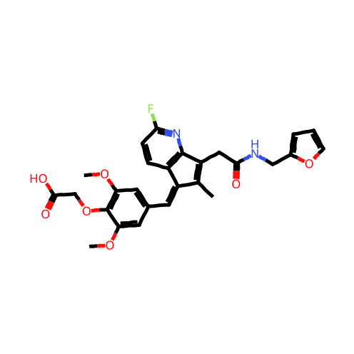 COc1cc(/C=C2/C(C)=C(CC(=O)NCc3ccco3)c3nc(F)ccc32)cc(OC)c1OCC(=O)O